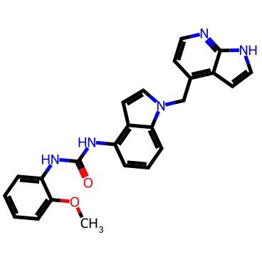 COc1ccccc1NC(=O)Nc1cccc2c1ccn2Cc1ccnc2[nH]ccc12